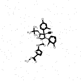 COC(=O)c1ccc(NC(=O)[C@@H]2N[C@@H](CC(C)(C)C)[C@](C#N)(c3ccc(Cl)cc3F)[C@H]2c2cccc(Cl)c2F)s1